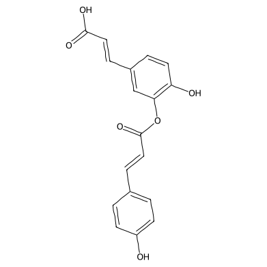 O=C(O)C=Cc1ccc(O)c(OC(=O)C=Cc2ccc(O)cc2)c1